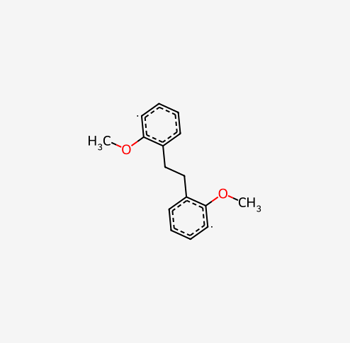 COc1[c]cccc1CCc1ccc[c]c1OC